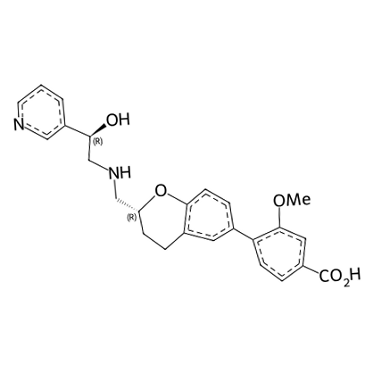 COc1cc(C(=O)O)ccc1-c1ccc2c(c1)CC[C@H](CNC[C@H](O)c1cccnc1)O2